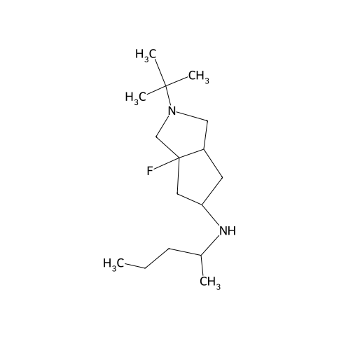 CCCC(C)NC1CC2CN(C(C)(C)C)CC2(F)C1